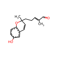 C/C(C=O)=C\CCC1(C)C=Cc2cc(O)ccc2O1